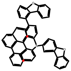 c1ccc(-c2cccc3cccc(-c4ccccc4N(c4ccc(-c5cccc6oc7ccccc7c56)cc4)c4ccc5oc6ccccc6c5c4)c23)cc1